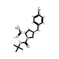 CC(C)(C)OC(=O)N1C[C@H](Cc2ccc(Br)cc2)C[C@H]1C(=O)O